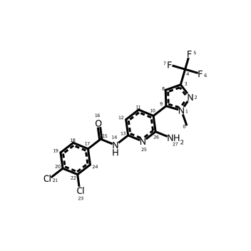 Cn1nc(C(F)(F)F)cc1-c1ccc(NC(=O)c2ccc(Cl)c(Cl)c2)nc1N